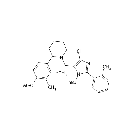 CCCCn1c(-c2ccccc2C)nc(Cl)c1CN1CCCCC1c1ccc(OC)c(C)c1C